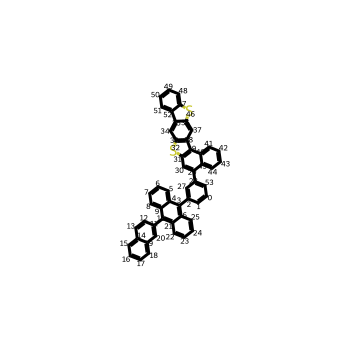 c1cc(-c2c3ccccc3c(-c3ccc4ccccc4c3)c3ccccc23)cc(-c2cc3sc4cc5c(cc4c3c3ccccc23)sc2ccccc25)c1